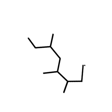 [CH2]CC(C)C(C)CC(C)CC